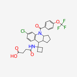 O=C(O)CCC(=O)NC1(C2c3ccc(Cl)cc3N(C(=O)c3ccc(OC(F)(F)F)cc3)C3CCCC32)CCC1